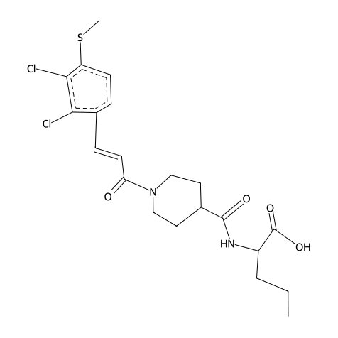 CCCC(NC(=O)C1CCN(C(=O)/C=C/c2ccc(SC)c(Cl)c2Cl)CC1)C(=O)O